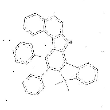 CC1(C)c2ccccc2-c2c1c(-c1ccccc1)c(-c1ccccc1)c1c2[nH]c2ccc3ccccc3c21